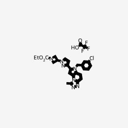 CCOC(=O)N1CC(n2ccc(-c3cc4c(ccc5nnc(C)n54)n3Cc3cccc(Cl)c3)n2)C1.O=C(O)C(F)(F)F